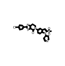 CS(=O)(=O)c1cc2cc(N3CCc4nc(-c5ccc(Cl)cc5)sc4C3=O)ccc2n1-c1ccncc1